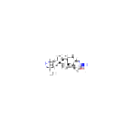 Cc1cncc(C2=CC[C@H]3[C@@H]4CC[C@H]5CNC(=O)CC[C@]5(C)[C@H]4CC[C@]23C)c1